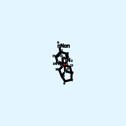 CCCCCCCCCc1cnc(N2C3CCC2CN(C(C)C)C3)nc1